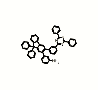 Nc1cccc(-c2cc3c(cc2-c2cccc(-c4nc(-c5ccccc5)nc(-c5ccccc5)n4)c2)-c2ccccc2C3(c2ccccc2)c2ccccc2)c1